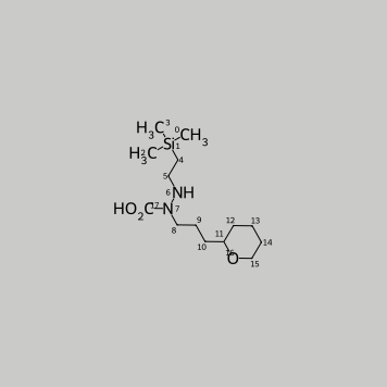 C[Si](C)(C)CCNN(CCCC1CCCCO1)C(=O)O